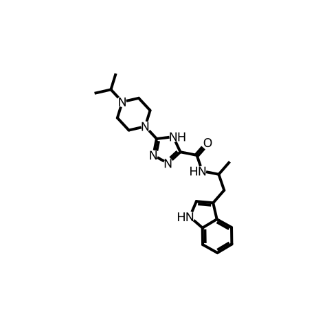 CC(Cc1c[nH]c2ccccc12)NC(=O)c1nnc(N2CCN(C(C)C)CC2)[nH]1